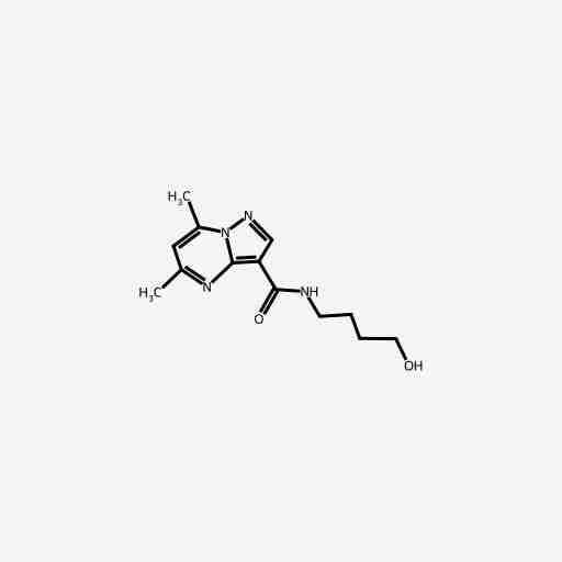 Cc1cc(C)n2ncc(C(=O)NCCCCO)c2n1